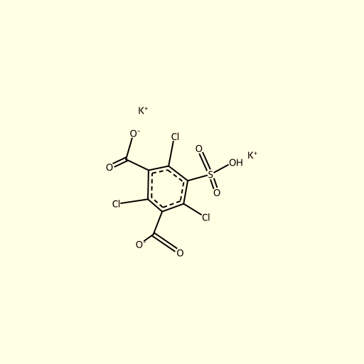 O=C([O-])c1c(Cl)c(C(=O)[O-])c(Cl)c(S(=O)(=O)O)c1Cl.[K+].[K+]